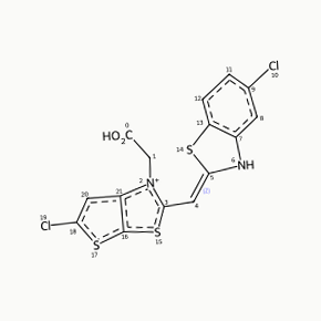 O=C(O)C[n+]1c(/C=C2/Nc3cc(Cl)ccc3S2)sc2sc(Cl)cc21